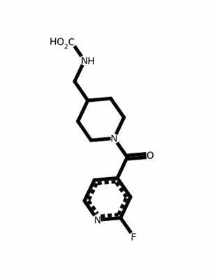 O=C(O)NCC1CCN(C(=O)c2ccnc(F)c2)CC1